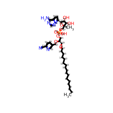 CCCCCCCCCCCCCCCCCCOC[C@H](COP(=O)(O)OC[C@@]1(C)O[C@@H](c2ccc3c(N)ncnn23)[C@H](O)[C@@H]1O)OCc1ccc(C#N)nc1